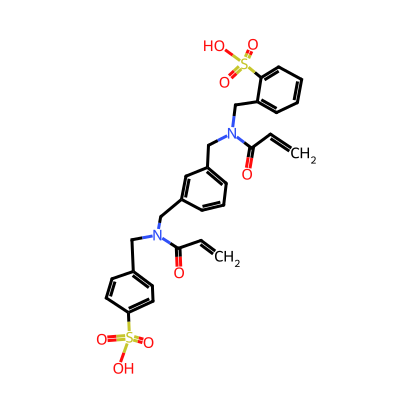 C=CC(=O)N(Cc1ccc(S(=O)(=O)O)cc1)Cc1cccc(CN(Cc2ccccc2S(=O)(=O)O)C(=O)C=C)c1